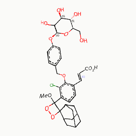 COC1(c2ccc(/C=C/C(=O)O)c(OCc3ccc(O[C@@H]4OC(CO)[C@@H](O)[C@H](O)C4O)cc3)c2Cl)OOC12C1CC3CC(C1)CC2C3